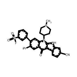 CC(C)c1cc2c(=O)c3c4ccc(C#N)cc4[nH]c3n(C3CCN(C)CC3)c2cc1-c1cccc(S(=O)(=O)F)c1